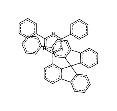 c1ccc(-c2ccc3c(c2)C2(c4ccccc4-3)c3ccccc3-c3cccc(-c4nc(-c5ccccc5)nc(-c5ccccc5)n4)c32)cc1